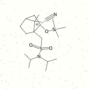 CC(C)N(C(C)C)S(=O)(=O)CC12CCC(C[C@@]1(C#N)O[Si](C)(C)C)C2(C)C